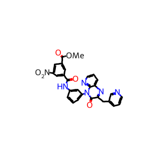 COC(=O)c1cc(C(=O)Nc2cccc(-n3c(=O)c(Cc4cccnc4)nc4cccnc43)c2)cc([N+](=O)[O-])c1